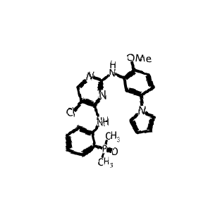 COc1ccc(-n2cccc2)cc1Nc1ncc(Cl)c(Nc2ccccc2P(C)(C)=O)n1